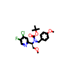 COC[C@@H](c1cc(Cl)c(F)cn1)N(Cc1ccc(OC)cc1)C(=O)OC(C)(C)C